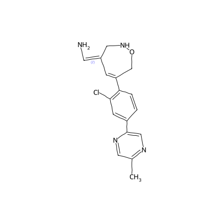 Cc1cnc(-c2ccc(C3=C/C(=C/N)CNOC3)c(Cl)c2)cn1